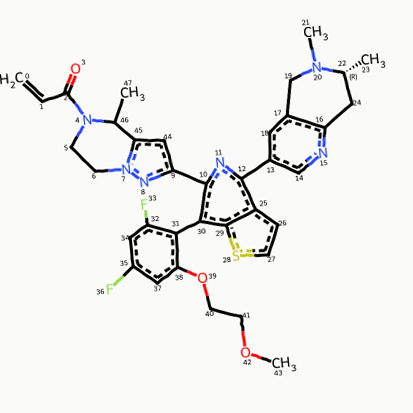 C=CC(=O)N1CCn2nc(-c3nc(-c4cnc5c(c4)CN(C)[C@H](C)C5)c4ccsc4c3-c3c(F)cc(F)cc3OCCOC)cc2C1C